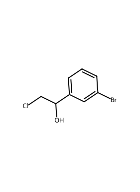 OC(CCl)c1cccc(Br)c1